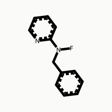 FN(Cc1ccccc1)c1ccccn1